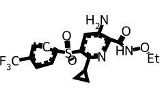 CCONC(=O)c1nc(C2CC2)c(S(=O)(=O)c2ccc(C(F)(F)F)cc2)cc1N